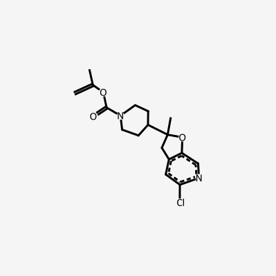 C=C(C)OC(=O)N1CCC(C2(C)Cc3cc(Cl)ncc3O2)CC1